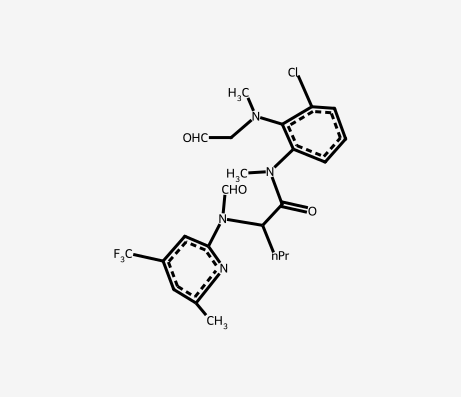 CCCC(C(=O)N(C)c1cccc(Cl)c1N(C)CC=O)N(C=O)c1cc(C(F)(F)F)cc(C)n1